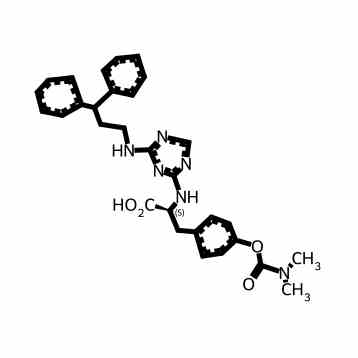 CN(C)C(=O)Oc1ccc(C[C@H](Nc2ncnc(NCCC(c3ccccc3)c3ccccc3)n2)C(=O)O)cc1